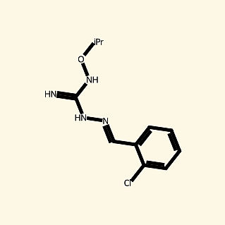 CC(C)ONC(=N)NN=Cc1ccccc1Cl